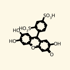 O=c1cc2oc3cc(O)c(O)cc3c(-c3ccc(S(=O)(=O)O)cc3S(=O)(=O)O)c-2cc1O